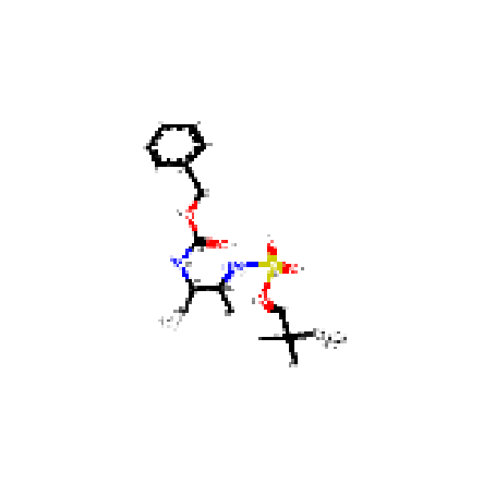 CCOC(=O)C(C)(C)COS(=O)(=O)NC(C)C(NC(=O)OCc1ccccc1)C(=O)O